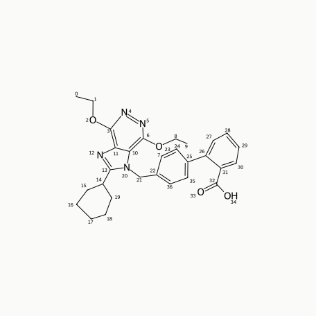 CCOc1nnc(OCC)c2c1nc(C1CCCCC1)n2Cc1ccc(-c2ccccc2C(=O)O)cc1